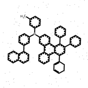 Cc1cccc(N(c2cccc(-c3cccc4ccccc34)c2)c2ccc3c(c2)c2ccccc2c2c(C4=CC=CCC4)cc(-c4ccccc4)c(-c4ccccc4)c32)c1